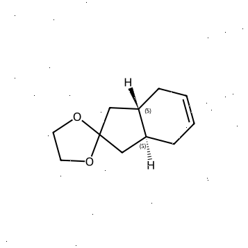 C1=CC[C@H]2CC3(C[C@@H]2C1)OCCO3